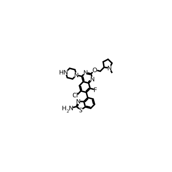 CN1CCCC1COc1nc(N2CCNCC2)c2cc(Cl)c(-c3cccc4sc(N)nc34)c(F)c2n1